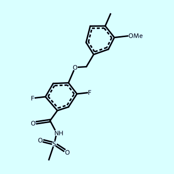 COc1cc(COc2cc(F)c(C(=O)NS(C)(=O)=O)cc2F)ccc1C